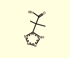 CC(C)(C)C(=O)C(C)(C)c1nnn[nH]1